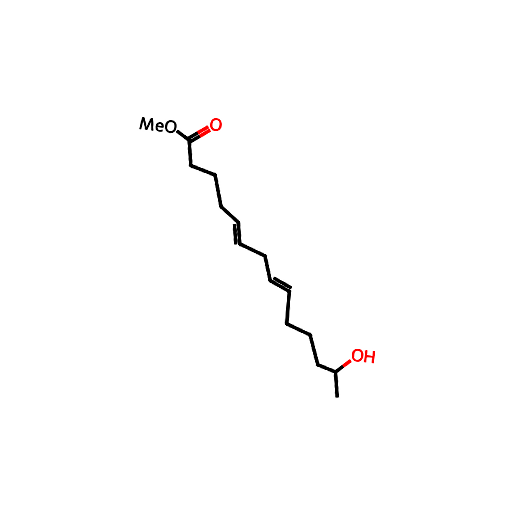 COC(=O)CCCC=CCC=CCCCC(C)O